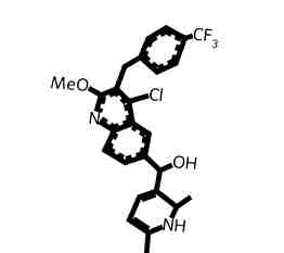 COc1nc2ccc(C(O)C3=CC=C(C)NC3C)cc2c(Cl)c1Cc1ccc(C(F)(F)F)cc1